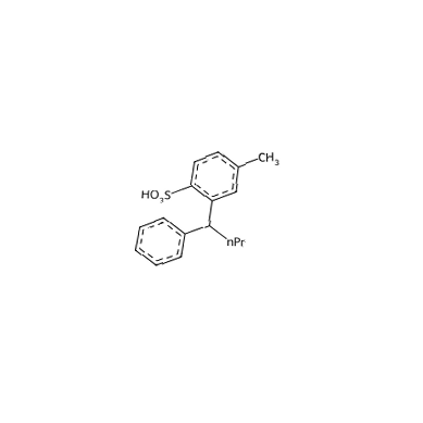 CCCC(c1ccccc1)c1cc(C)ccc1S(=O)(=O)O